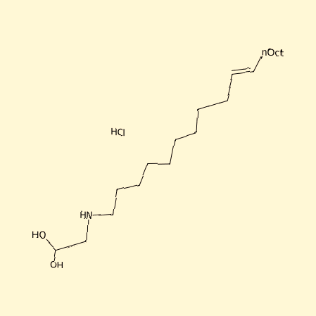 CCCCCCCCC=CCCCCCCCCCNCC(O)O.Cl